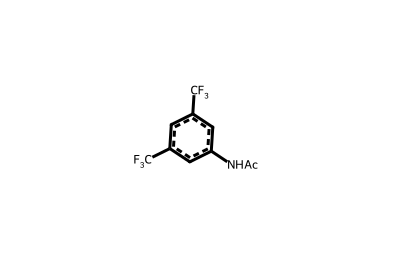 [CH2]C(=O)Nc1cc(C(F)(F)F)cc(C(F)(F)F)c1